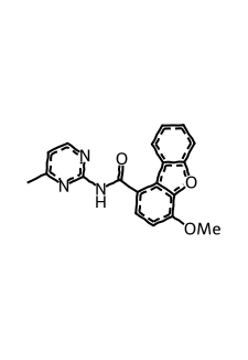 COc1ccc(C(=O)Nc2nccc(C)n2)c2c1oc1ccccc12